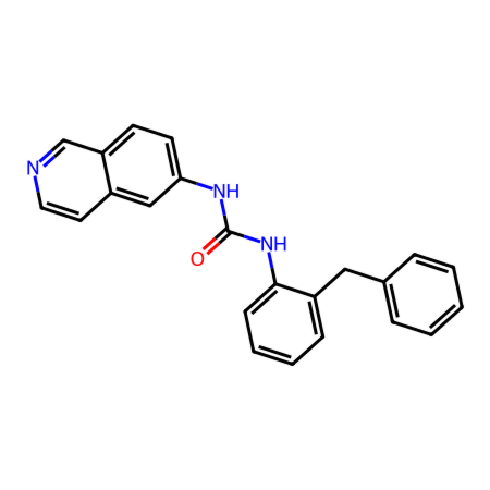 O=C(Nc1ccc2cnccc2c1)Nc1ccccc1Cc1ccccc1